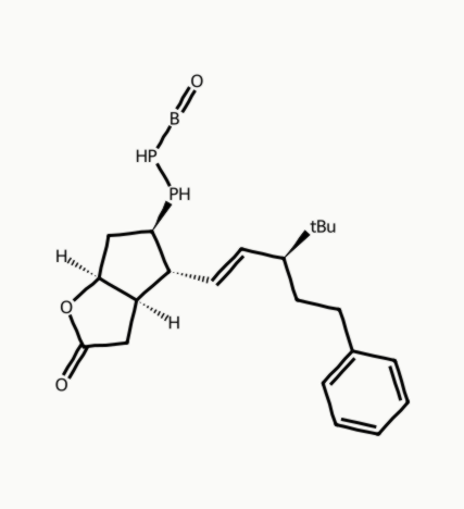 CC(C)(C)[C@H](/C=C/[C@@H]1[C@H]2CC(=O)O[C@H]2C[C@H]1PPB=O)CCc1ccccc1